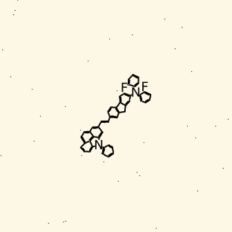 Fc1ccccc1N(c1ccc2c(c1)Cc1cc(/C=C/c3cc4ccc5cccc6c5c4c(c3)n6-c3ccccc3)ccc1-2)c1ccccc1F